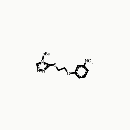 CCCCn1cnnc1SCCOc1cccc([N+](=O)[O-])c1